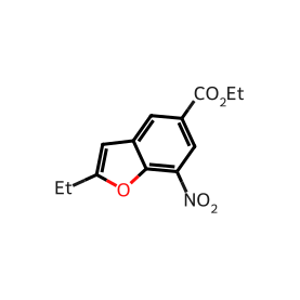 CCOC(=O)c1cc([N+](=O)[O-])c2oc(CC)cc2c1